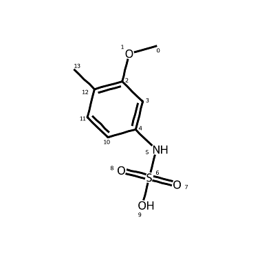 COc1cc(NS(=O)(=O)O)ccc1C